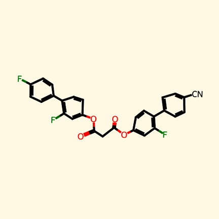 N#Cc1ccc(-c2ccc(OC(=O)CC(=O)Oc3ccc(-c4ccc(F)cc4)c(F)c3)cc2F)cc1